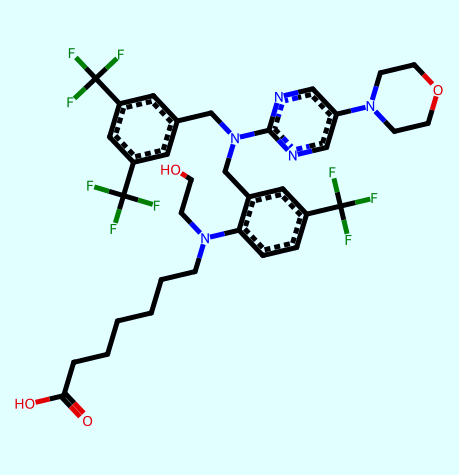 O=C(O)CCCCCCN(CCO)c1ccc(C(F)(F)F)cc1CN(Cc1cc(C(F)(F)F)cc(C(F)(F)F)c1)c1ncc(N2CCOCC2)cn1